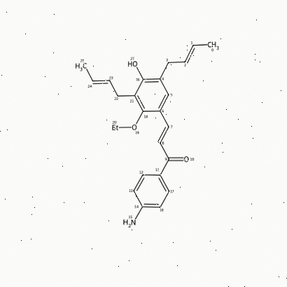 C/C=C/Cc1cc(/C=C/C(=O)c2ccc(N)cc2)c(OCC)c(C/C=C/C)c1O